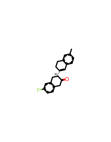 Cc1ccc2c(c1)CCC([C@H]1Cc3cc(F)ccc3CC1=O)=C2